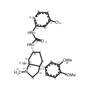 COc1ccc([C@@]23CC[C@@H](NC(=O)Nc4cc(Cl)ccn4)C[C@@H]2N(C)CC3)cc1OC